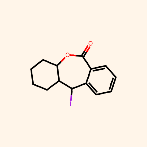 O=C1OC2CCCCC2C(I)c2ccccc21